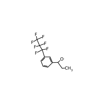 CCC([O])c1cccc(C(F)(F)C(F)(F)C(F)(F)F)c1